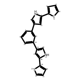 c1cc(-c2c[nH]c(-c3cccs3)c2)cc(-c2c[nH]c(-c3cccs3)c2)c1